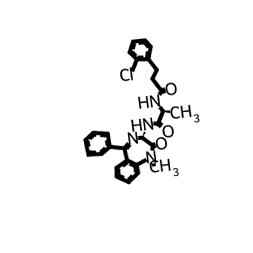 C[C@H](NC(=O)CCc1ccccc1Cl)C(=O)N[C@H]1N=C(c2ccccc2)c2ccccc2N(C)C1=O